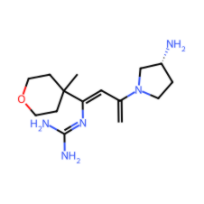 C=C(/C=C(\N=C(N)N)C1(C)CCOCC1)N1CC[C@@H](N)C1